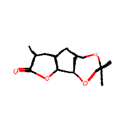 CC1C(=O)OC2C1CC1OC(C)(C)OC12